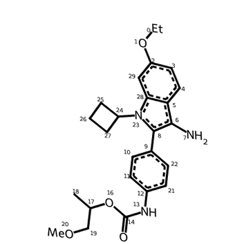 CCOc1ccc2c(N)c(-c3ccc(NC(=O)OC(C)COC)cc3)n(C3CCC3)c2c1